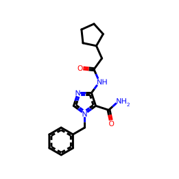 NC(=O)c1c(NC(=O)CC2CCCC2)ncn1Cc1ccccc1